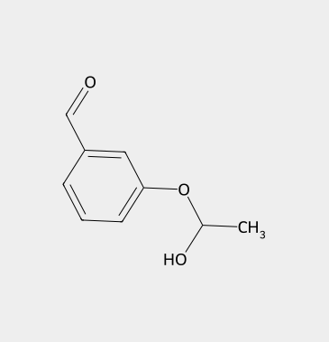 CC(O)Oc1cccc(C=O)c1